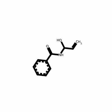 C=CC(O)NC(=O)c1ccccc1